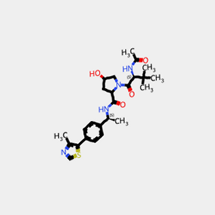 CC(=O)N[C@H](C(=O)N1CC(O)CC1C(=O)N[C@@H](C)c1ccc(-c2scnc2C)cc1)C(C)(C)C